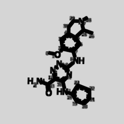 COc1cc2c(cc1Nc1nnc(C(N)=O)c(Nc3ccccc3)n1)C(C)N(C)CC2